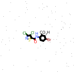 O=C(O)c1cc(Br)ccc1NC(=O)c1snc(Cl)c1Cl